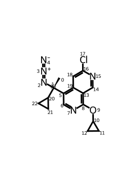 C[C@@](N=[N+]=[N-])(c1cnc(OC2CC2)c2cnc(Cl)cc12)C1CC1